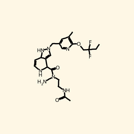 CCC(F)(F)COc1ncc(CN2C=C3C(C=CNC3C(=O)N(N)CCNC(C)=O)N2)cc1C